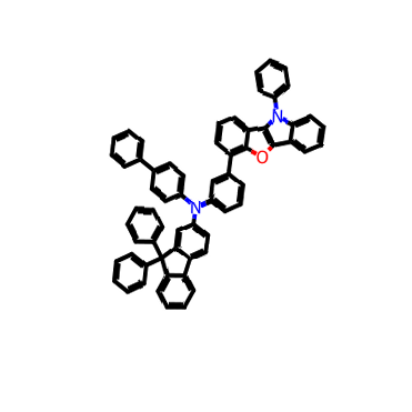 c1ccc(-c2ccc(N(c3cccc(-c4cccc5c4oc4c6ccccc6n(-c6ccccc6)c54)c3)c3ccc4c(c3)C(c3ccccc3)(c3ccccc3)c3ccccc3-4)cc2)cc1